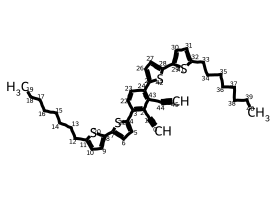 C#Cc1c(-c2ccc(-c3ccc(CCCCCCCC)s3)s2)ccc(-c2ccc(-c3ccc(CCCCCCCC)s3)s2)c1C#C